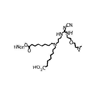 CCCCCCCCCOC(=O)CCCCCCCN(CCCCCCCC(=O)O)CCCN/C(=N/C#N)NCCOCCN(C)C